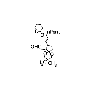 CCCCCC(C=CC1CCC2(OCC(C)(C)CO2)C1CC=O)OC1CCCCO1